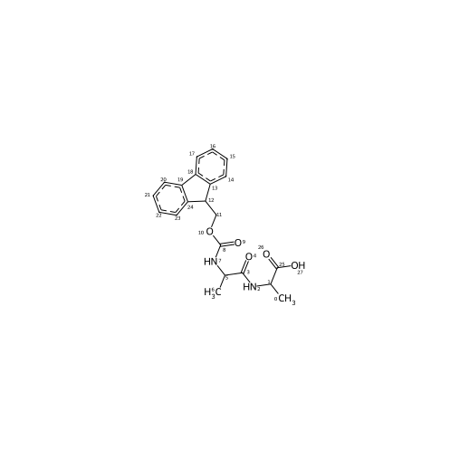 CC(NC(=O)C(C)NC(=O)OCC1c2ccccc2-c2ccccc21)C(=O)O